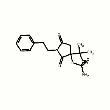 CC(C)(C)C1(OC(N)=O)CC(=O)N(CCc2ccccc2)C1=O